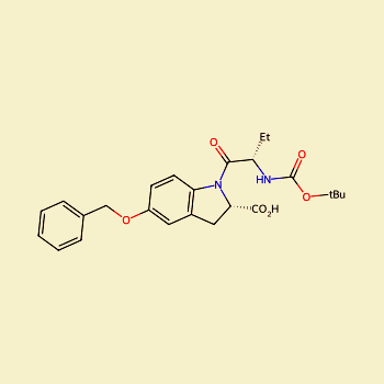 CC[C@H](NC(=O)OC(C)(C)C)C(=O)N1c2ccc(OCc3ccccc3)cc2C[C@H]1C(=O)O